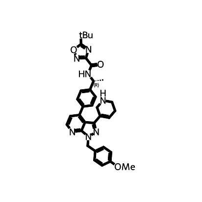 COc1ccc(Cn2nc(C3=CCCNC3)c3c(-c4ccc([C@@H](C)NC(=O)c5noc(C(C)(C)C)n5)cc4)ccnc32)cc1